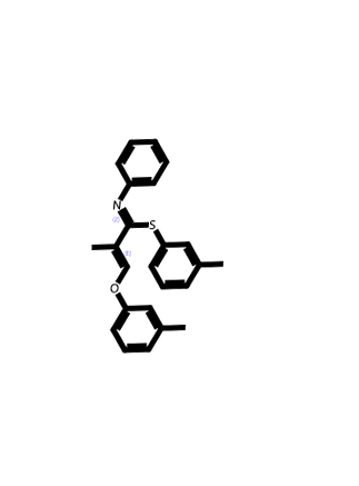 CC(=C\Oc1cccc(C)c1)/C(=N/c1ccccc1)Sc1cccc(C)c1